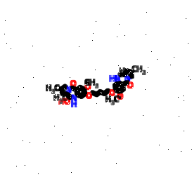 COc1cc2c(cc1OCCCCCOc1cc3c(cc1OC)C(=O)N1C=C(C)C[C@@]1(C)[C@H](O)N3)NC[C@@H]1CC(C)=CN1C2=O